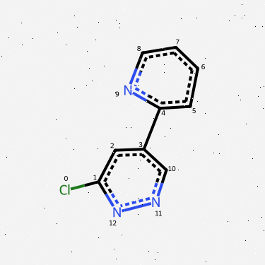 Clc1cc(-c2ccccn2)cnn1